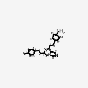 Cc1ccc(CCC(Cn2ccnc2)SCCCc2ccc(N)cc2)cc1